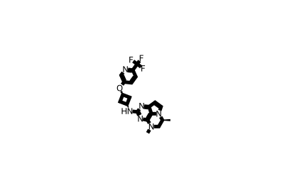 C[C@H]1CN(C)c2nc(N[C@H]3C[C@H](Oc4ccc(C(F)(F)F)nc4)C3)nc3ccn1c23